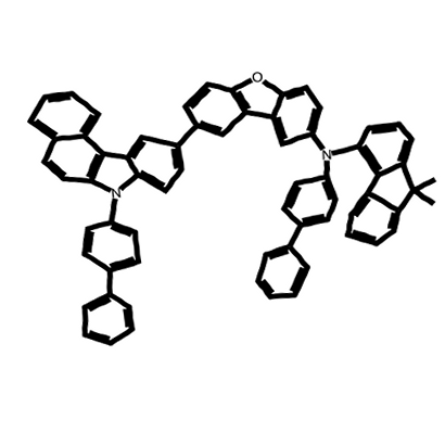 CC1(C)c2ccccc2-c2c(N(c3ccc(-c4ccccc4)cc3)c3ccc4oc5ccc(-c6ccc7c(c6)c6c8ccccc8ccc6n7-c6ccc(-c7ccccc7)cc6)cc5c4c3)cccc21